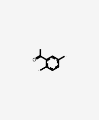 [CH2]c1ccc([CH2])c(C(C)=O)c1